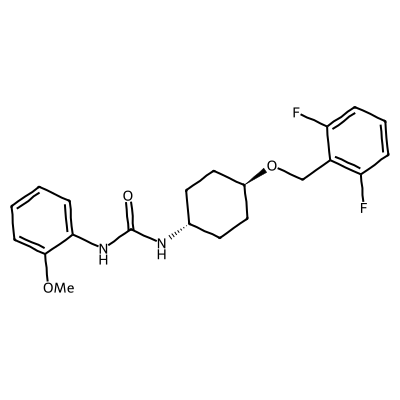 COc1ccccc1NC(=O)N[C@H]1CC[C@H](OCc2c(F)cccc2F)CC1